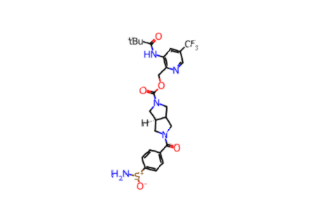 CC(C)(C)C(=O)Nc1cc(C(F)(F)F)cnc1COC(=O)N1CC2CN(C(=O)c3ccc([S+](N)[O-])cc3)C[C@H]2C1